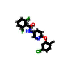 Cc1ccc(Cl)cc1Oc1ccc(NC(=O)c2c(F)cccc2F)cn1